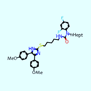 CCCCCCCN(C(=O)NCCCCCSc1nc(-c2ccc(OC)cc2)c(-c2ccc(OC)cc2)[nH]1)c1ccc(F)cc1F